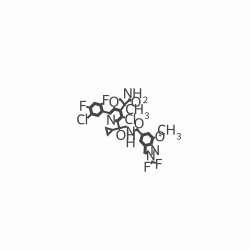 COc1cc(C(=O)NC[C@](O)(c2nc(-c3cc(Cl)c(F)cc3F)c3c(c2Cl)[C@@](C)(C(N)=O)CO3)C2CC2)cc2cn(C(F)F)nc12